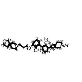 Cc1c(OCCCN2CCC3(CCOC3)C2)cccc1-c1cccc(-c2nc3c(s2)CNCC3)c1C